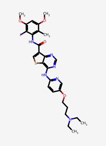 CCN(CC)CCCOc1ccc(Nc2ncnc3c(C(=O)Nc4c(C)c(OC)cc(OC)c4I)csc23)nc1